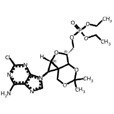 CCOP(=O)(OCC)OC[C@H]1O[C@H]2C(n3cnc4c(N)nc(Cl)nc43)C23COC(C)(C)OC13